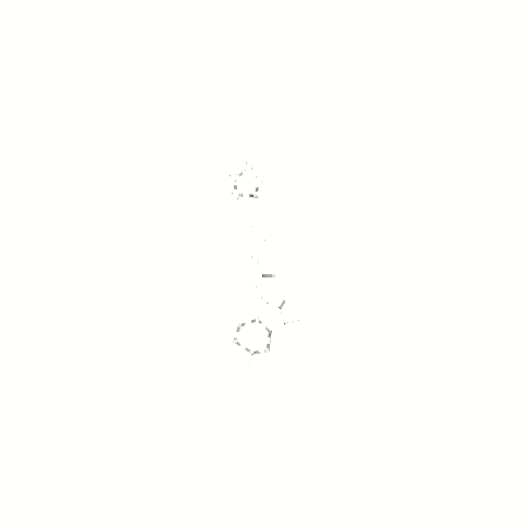 CC1(C)C(=O)N(CC(=O)NCCCc2nn[nH]n2)c2ccc(Br)cc21